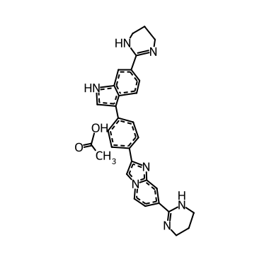 CC(=O)O.c1cc2c(-c3ccc(-c4cn5ccc(C6=NCCCN6)cc5n4)cc3)c[nH]c2cc1C1=NCCCN1